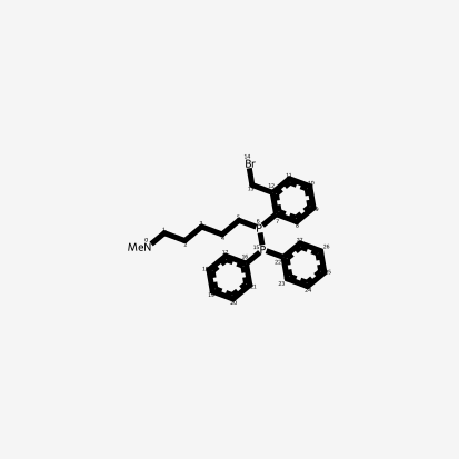 CNCCCCCP(c1ccccc1CBr)P(c1ccccc1)c1ccccc1